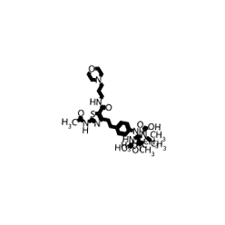 CC(=O)Nc1nc(CCc2ccc(NC(NC(=O)O)(N(C(=O)O)C(C)(C)C)C(C)(C)C)cc2)c(C(=O)NCCCN2CCOCC2)s1